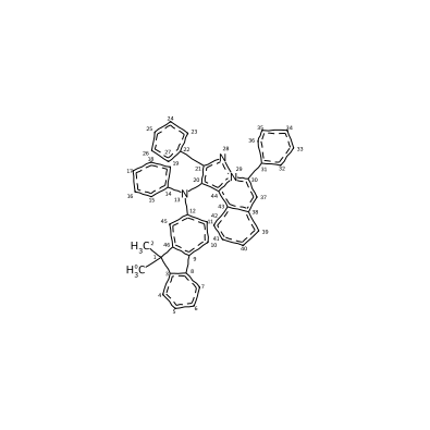 CC1(C)c2ccccc2-c2ccc(N(c3ccccc3)c3c(-c4ccccc4)nn4c(-c5ccccc5)cc5ccccc5c34)cc21